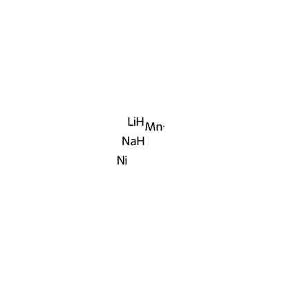 [LiH].[Mn].[NaH].[Ni]